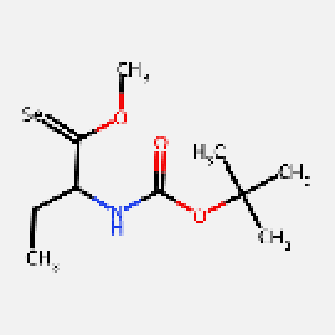 CCC(NC(=O)OC(C)(C)C)C(=[Se])OC